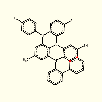 Cc1cc2c3c(c1)N(c1ccccc1-c1ccccc1)c1ccc(S)cc1B3c1cc(F)ccc1N2c1ccc(F)cc1